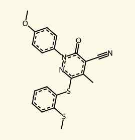 COc1ccc(-n2nc(Sc3ccccc3SC)c(C)c(C#N)c2=O)cc1